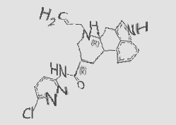 C=CCN1C[C@H](C(=O)Nc2ccc(Cl)nn2)CC2c3cccc4[nH]cc(c34)C[C@H]21